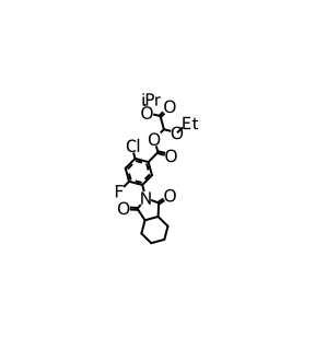 CCOC(OC(=O)c1cc(N2C(=O)C3CCCCC3C2=O)c(F)cc1Cl)C(=O)OC(C)C